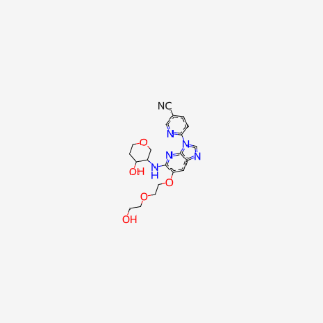 N#Cc1ccc(-n2cnc3cc(OCCOCCO)c(NC4COCCC4O)nc32)nc1